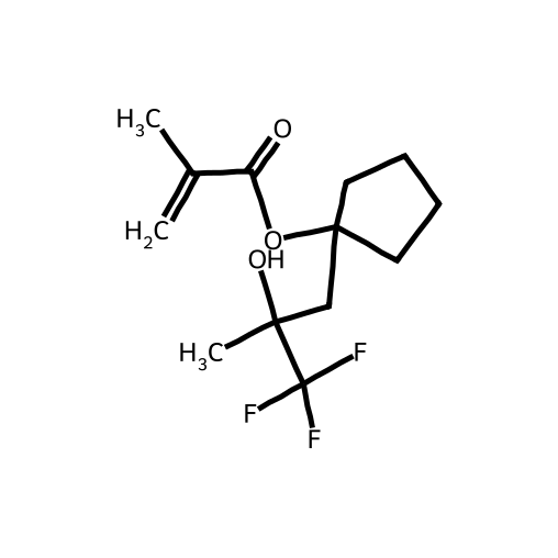 C=C(C)C(=O)OC1(CC(C)(O)C(F)(F)F)CCCC1